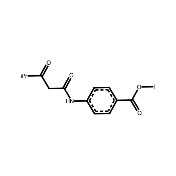 CC(C)C(=O)CC(=O)Nc1ccc(C(=O)OI)cc1